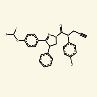 C#CCN(C(=O)N1CC(c2ccccc2)C(c2ccc(OC(F)F)cc2)=N1)c1ccc(Cl)cc1